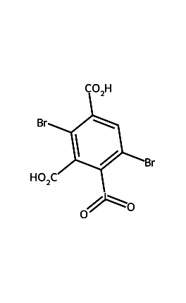 O=C(O)c1cc(Br)c(I(=O)=O)c(C(=O)O)c1Br